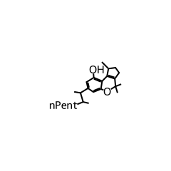 CCCCCC(C)C(C)c1cc(O)c2c(c1)OC(C)(C)C1=C2C(C)CC1